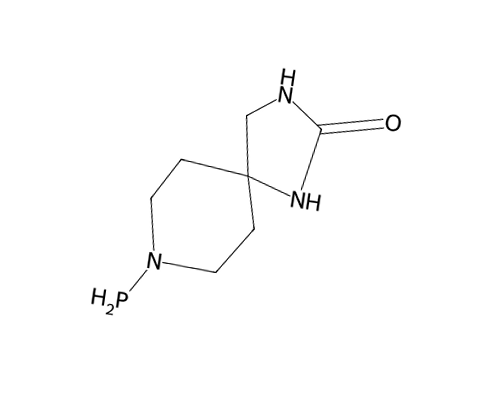 O=C1NCC2(CCN(P)CC2)N1